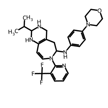 CC(C)C1NCC2=C(C=CN(c3ncccc3C(F)(F)F)C(Nc3ccc(N4CCOCC4)cc3)C2)N1